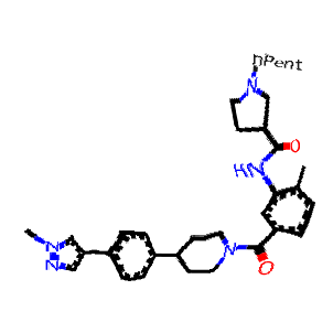 CCCCCN1CCC(C(=O)Nc2cc(C(=O)N3CCC(c4ccc(-c5cnn(C)c5)cc4)CC3)ccc2C)C1